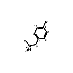 Cc1ccc(C[SiH](C)C)cc1